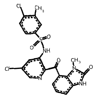 Cc1cc(S(=O)(=O)Nc2cc(Cl)cnc2C(=O)c2cccc3[nH]c(=O)n(C)c23)ccc1Cl